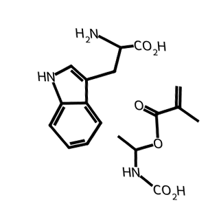 C=C(C)C(=O)OC(C)NC(=O)O.NC(Cc1c[nH]c2ccccc12)C(=O)O